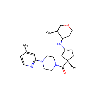 COC1COCCC1NC1CC[C@@](C(=O)N2CCN(c3cc(C(F)(F)F)ccn3)CC2)(C(C)C)C1